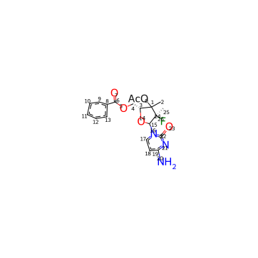 CC(=O)OC1(C)[C@@H](COC(=O)c2ccccc2)OC(n2ccc(N)nc2=O)[C@]1(C)F